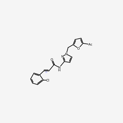 CC(=O)c1ccc(Cn2ccc(NC(=O)/C=C/c3ccccc3Cl)n2)o1